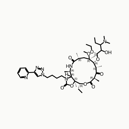 CCO[C@@H](O[C@@H]1[C@H](C)C(=O)[C@@H](C)C(=O)O[C@H](CC)[C@@]2(C)OC(=O)N(CCCCn3cc(-c4ccccn4)nn3)[C@@H]2[C@@H](C)NC(=O)[C@H](C)C[C@@]1(C)OC)C(O)C(CC)N(C)C